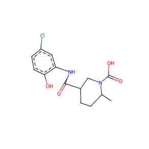 CC1CCC(C(=O)Nc2cc(Cl)ccc2O)CN1C(=O)O